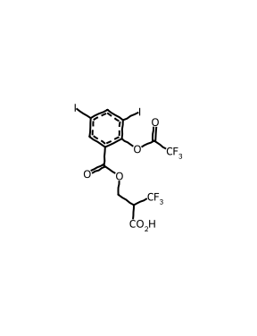 O=C(OCC(C(=O)O)C(F)(F)F)c1cc(I)cc(I)c1OC(=O)C(F)(F)F